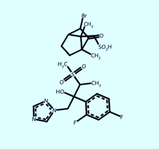 CC(C(O)(Cn1cncn1)c1ccc(F)cc1F)S(C)(=O)=O.CC12CCC(C(Br)C1=O)C2(C)CS(=O)(=O)O